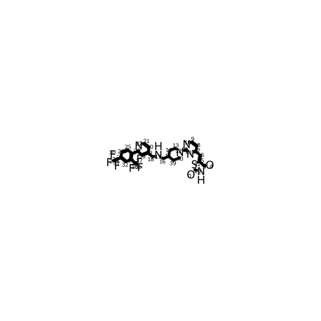 O=C1NC(=O)C(=Cc2ccnc(N3CCC(CNCc4ccnc(-c5ccc(C(F)(F)F)cc5C(F)(F)F)c4)CC3)n2)S1